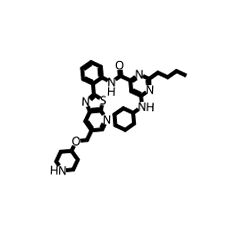 CCCCc1nc(NC2CCCCC2)cc(C(=O)Nc2ccccc2-c2nc3cc(COC4CCNCC4)cnc3s2)n1